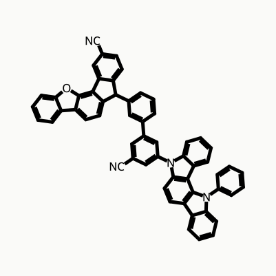 N#Cc1cc(-c2cccc(C3c4ccc(C#N)cc4-c4c3ccc3c4oc4ccccc43)c2)cc(-n2c3ccccc3c3c2ccc2c4ccccc4n(-c4ccccc4)c23)c1